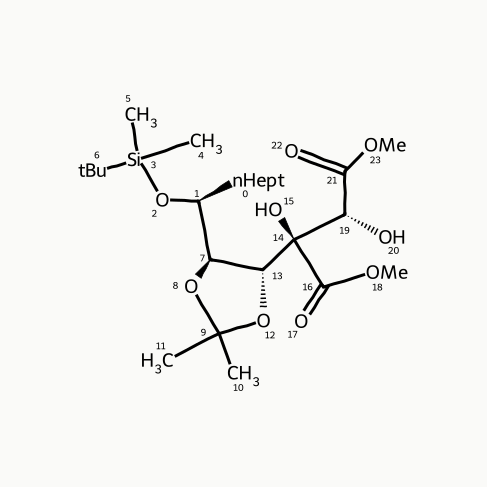 CCCCCCC[C@H](O[Si](C)(C)C(C)(C)C)[C@@H]1OC(C)(C)O[C@H]1[C@@](O)(C(=O)OC)[C@@H](O)C(=O)OC